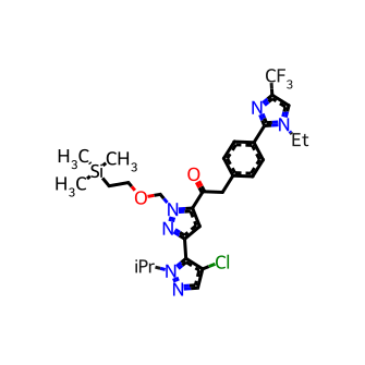 CCn1cc(C(F)(F)F)nc1-c1ccc(CC(=O)c2cc(-c3c(Cl)cnn3C(C)C)nn2COCC[Si](C)(C)C)cc1